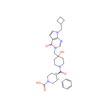 O=C(O)N1CC[C@@H](C(=O)N2CCC(O)(Cn3cnc4c(ccn4CC4CCC4)c3=O)CC2)[C@H](c2ccccc2)C1